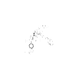 COCCn1cc(NC(=O)Nc2ccc(OC(F)(F)F)cc2)nc1C(=O)NCCCN1CCOCC1